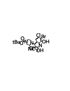 CC1CN(C(=O)OC(C)(C)C)CCN1c1c(C#N)c(O)nc2c(O)c(Br)c(Cl)cc12